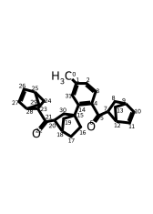 Cc1ccc(C(=O)C2CC3C=CC2C3)c(C23CCC(C2)C(C(=O)C2CC4C=CC2C4)C3)c1